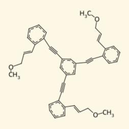 COC/C=C/c1ccccc1C#Cc1cc(C#Cc2ccccc2/C=C/COC)cc(C#Cc2ccccc2/C=C/COC)c1